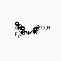 CC(C)(CCn1cnc2nc(OC(=O)O)ccc21)NCC(OC(=O)C(F)(F)F)c1cccc(NS(=O)(=O)c2ccccc2)c1